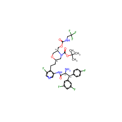 CC(C)(C)OC(=O)N1C[C@@H](CCc2c(F)cncc2NC(=O)[C@@H](N)[C@@H](c2ccc(F)cc2)c2cc(F)cc(F)c2)OC[C@H]1COC(=O)NCC(F)(F)F